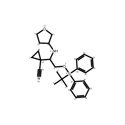 CC(C)(C)[Si](OCC(NC1CCOC1)C1(C#N)CC1)(c1ccccc1)c1ccccc1